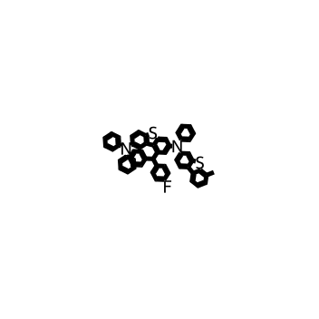 Cc1cccc2c1sc1cc(N(c3ccccc3)c3cc(C(c4ccccc4)c4ccc(F)cc4)c4c(c3)sc3ccc(N(c5ccccc5)c5ccccc5)cc34)ccc12